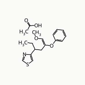 CC(=O)O.CCC(CC(=COC)Oc1ccccc1)c1cscn1